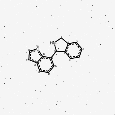 c1ccc2c(c1)CNC2c1cccc2ccoc12